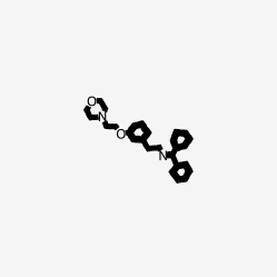 c1ccc(C(=NCCc2cccc(OCCN3CCOCC3)c2)c2ccccc2)cc1